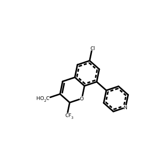 O=C(O)C1=Cc2cc(Cl)cc(-c3ccncc3)c2OC1C(F)(F)F